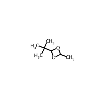 CC1OC(C(C)(C)C)O1